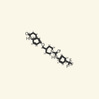 O=C1CCc2cc(OCC3CCN(C(=O)Nc4ccc(C(F)(F)F)cc4)CC3)ccc2N1